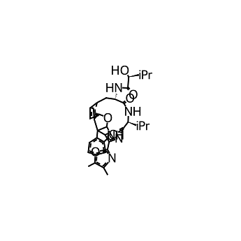 Cc1nc(-c2nc3oc2C24c5ccccc5NC2Oc2ccc(cc24)C[C@H](NC(=O)[C@@H](O)C(C)C)C(=O)N[C@H]3C(C)C)oc1C